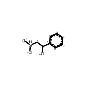 ClC(C[SiH](Cl)Cl)c1ccccc1